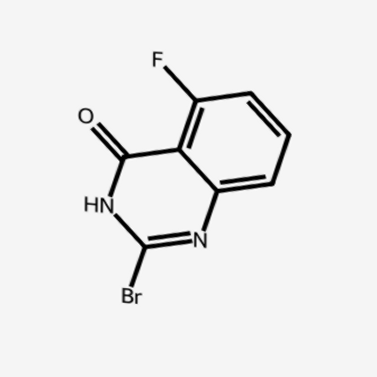 O=c1[nH]c(Br)nc2cccc(F)c12